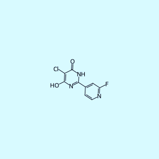 O=c1[nH]c(-c2ccnc(F)c2)nc(O)c1Cl